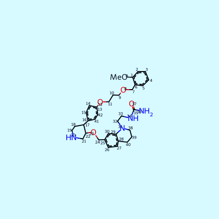 COc1ccccc1COCCCOc1ccc(C2CCNCC2OCc2ccc3c(c2)N(CCNC(N)=O)CCC3)cc1